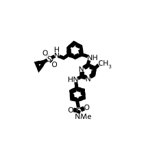 CNS(=O)(=O)c1ccc(Nc2ncc(C)c(Nc3cccc(CNS(=O)(=O)C4CC4)c3)n2)cc1